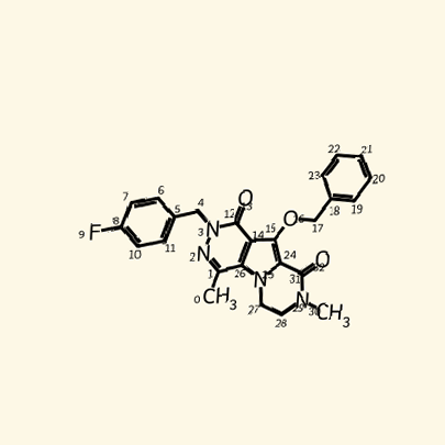 Cc1nn(Cc2ccc(F)cc2)c(=O)c2c(OCc3ccccc3)c3n(c12)CCN(C)C3=O